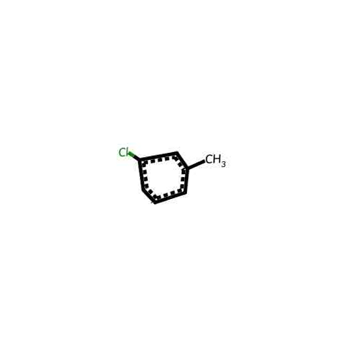 Cc1c[c]cc(Cl)c1